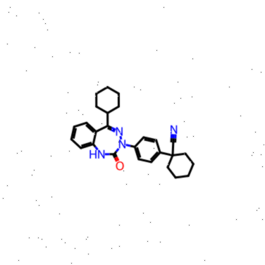 N#CC1(c2ccc(N3N=C(C4CCCCC4)c4ccccc4NC3=O)cc2)CCCCC1